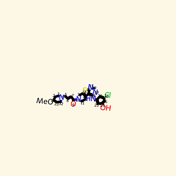 COC1CCN(C/C=C/C(=O)N2CCc3c(sc4ncnc(Nc5cc(O)cc(Cl)c5)c34)C2)CC1